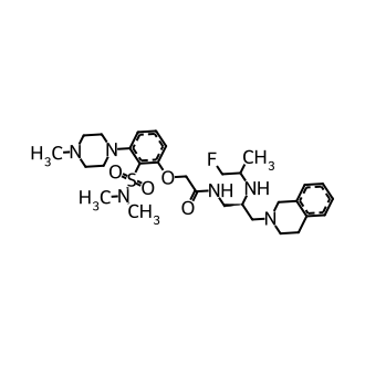 CC(CF)N[C@H](CNC(=O)COc1cccc(N2CCN(C)CC2)c1S(=O)(=O)N(C)C)CN1CCc2ccccc2C1